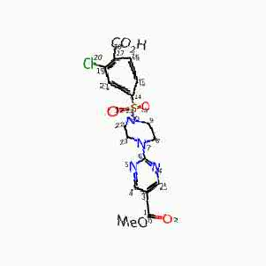 COC(=O)c1cnc(N2CCN(S(=O)(=O)c3ccc(C(=O)O)c(Cl)c3)CC2)nc1